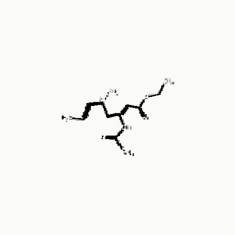 CC=C[C@H](C)CC(=CC(=O)OCC)NC(C)=O